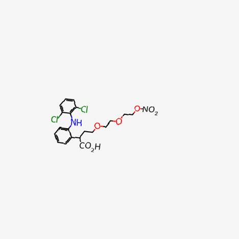 O=C(O)C(CCOCCOCCO[N+](=O)[O-])c1ccccc1Nc1c(Cl)cccc1Cl